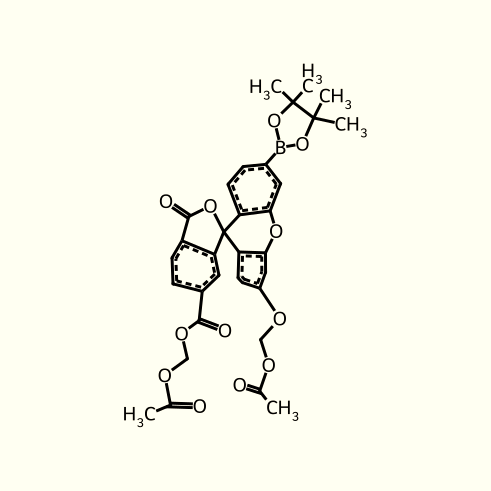 CC(=O)OCOC(=O)c1ccc2c(c1)C1(OC2=O)c2ccc(OCOC(C)=O)cc2Oc2cc(B3OC(C)(C)C(C)(C)O3)ccc21